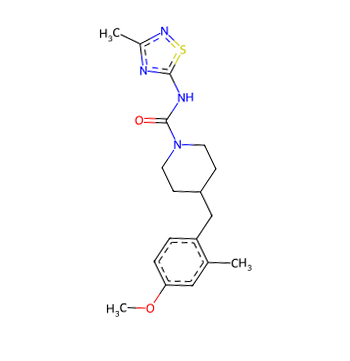 COc1ccc(CC2CCN(C(=O)Nc3nc(C)ns3)CC2)c(C)c1